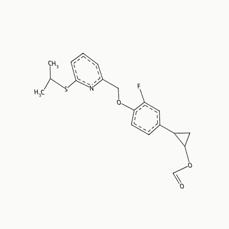 CC(C)Sc1cccc(COc2ccc(C3CC3OC=O)cc2F)n1